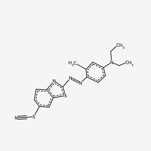 CCN(CC)c1ccc(N=Nc2nc3ccc(SC#N)cc3s2)c(C)c1